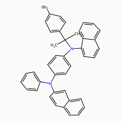 CC(C)(C)c1ccc(C(C)(C)N(c2ccc(N(c3ccccc3)c3ccc4ccccc4c3)cc2)c2cccc3ccccc23)cc1